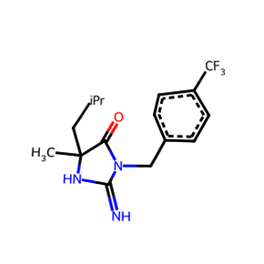 CC(C)CC1(C)NC(=N)N(Cc2ccc(C(F)(F)F)cc2)C1=O